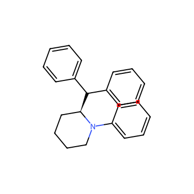 c1ccc(C(c2ccccc2)[C@@H]2CCCCN2c2ccccc2)cc1